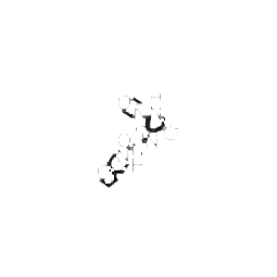 COC1=c2nc(NC(=O)N3CCC4(CCCO4)CC3)sc2=C(N2CCOCC2)NC1